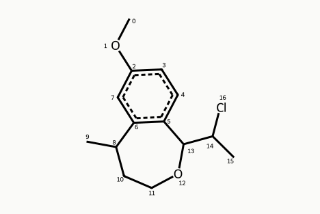 COc1ccc2c(c1)C(C)CCOC2C(C)Cl